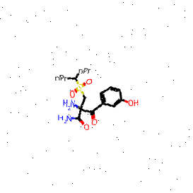 CCCC(CCC)S(=O)(=O)CC(N)(C(N)=O)C(=O)c1cccc(O)c1